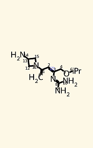 C=C(/C=C(/COC(C)C)N=C(N)N)N1CC(N)C1